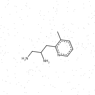 Cc1cccnc1CC(N)CN